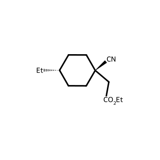 CCOC(=O)C[C@]1(C#N)CC[C@H](CC)CC1